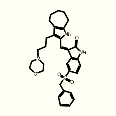 O=C1Nc2ccc(S(=O)(=O)Cc3ccccc3)cc2/C1=C/c1[nH]c2c(c1CCCN1CCOCC1)CCCCC2